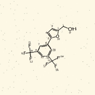 OCc1ccc(-c2cc(C(F)(F)F)cc(C(F)(F)F)c2)o1